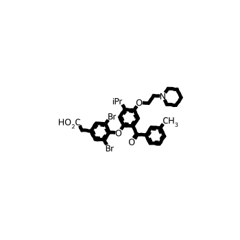 Cc1cccc(C(=O)c2cc(OCCN3CCCCC3)c(C(C)C)cc2Oc2c(Br)cc(CC(=O)O)cc2Br)c1